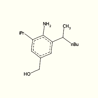 CCCCC(C)c1cc(CO)cc(C(C)C)c1N